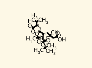 CC(C)[C@H](C[C@@H]1OC(C)(C)N(C(=O)OC(C)(C)C)[C@H]1CC(C)(C)CC(=O)O)C(=O)O